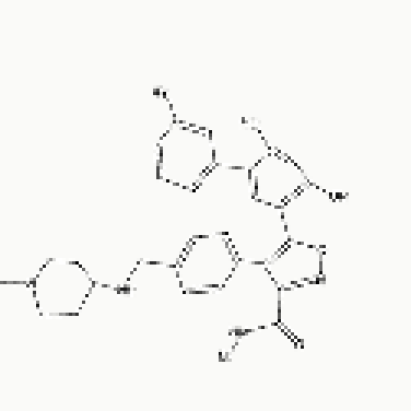 CCNC(=O)c1noc(-c2cc(-c3cccc(C(C)C)c3)c(O)cc2O)c1-c1ccc(CNC2CCN(C)CC2)cc1